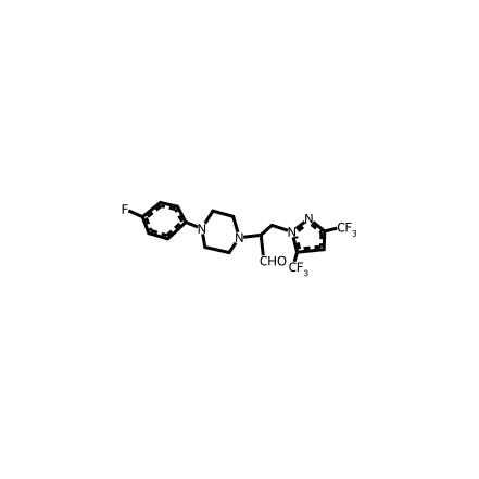 O=CC(Cn1nc(C(F)(F)F)cc1C(F)(F)F)N1CCN(c2ccc(F)cc2)CC1